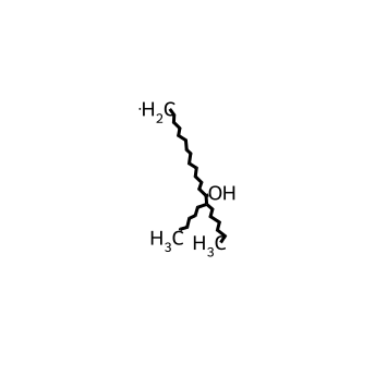 [CH2]CCCCCCCCCCCCC(O)C(CCCCCC)CCCCCC